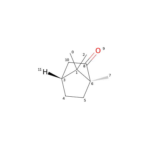 CC1(C)[C@@H]2CC[C@]1(C)C(=O)C2